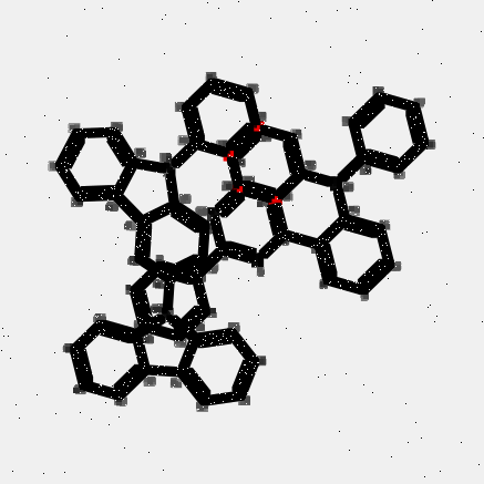 c1ccc(-c2nc(-c3ccccc3N(c3ccccc3)c3ccccc3)nc(-c3ccccc3-n3c4ccccc4c4cc(-n5c6ccccc6c6ccccc65)ccc43)n2)cc1